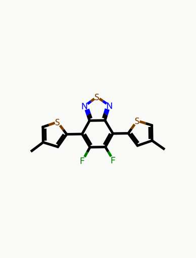 Cc1csc(-c2c(F)c(F)c(-c3cc(C)cs3)c3nsnc23)c1